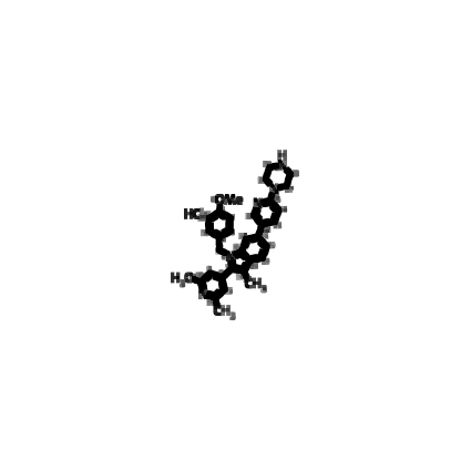 COc1ccc(Cn2c(-c3cc(C)nc(C)c3)c(C)c3ccc(-c4ccc(N5CCNCC5)nc4)cc32)cc1.Cl